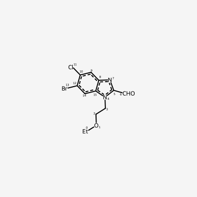 CCOCCn1c(C=O)nc2cc(Cl)c(Br)cc21